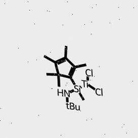 CC1=C(C)C(C)(C)C([Si](C)(NC(C)(C)C)[Ti]([Cl])[Cl])=C1C